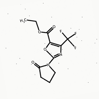 CCOC(=O)c1oc(N2CCCC2=O)nc1C(F)(F)F